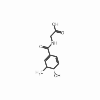 CC1C=C(C(=O)NCC(=O)O)C=C[C@@H]1O